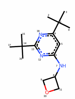 CC(C)(C)c1cc(NC2COC2)nc(C(C)(C)C)n1